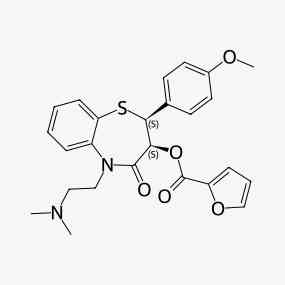 COc1ccc([C@@H]2Sc3ccccc3N(CCN(C)C)C(=O)[C@@H]2OC(=O)c2ccco2)cc1